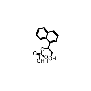 O=P(O)(O)OC(CO)c1cccc2ccccc12